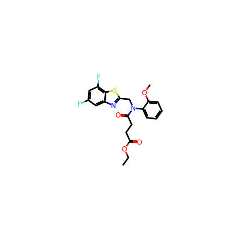 CCOC(=O)CCC(=O)N(Cc1nc2cc(F)cc(F)c2s1)c1ccccc1OC